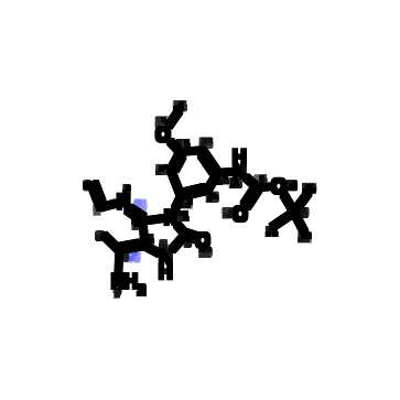 C=C/N=C1\C(=C(/C)N)NC(=O)N1c1cc(NC(=O)OC(C)(C)C)cc(OC)c1